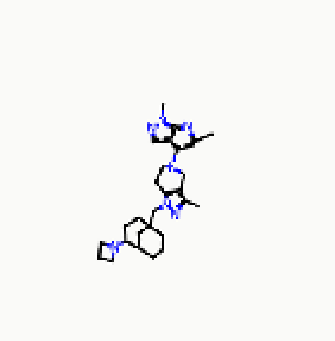 Cc1cc(N2CCc3c(c(C)nn3CC34CCCC(C3)C(N3CCC3)CC4)C2)c2cnn(C)c2n1